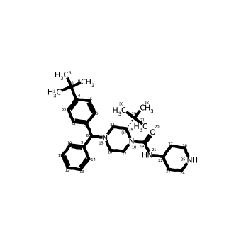 CC(C)(C)c1ccc(C(c2ccccc2)N2CCN(C(=O)NC3CCNCC3)[C@@H](C(C)(C)C)C2)cc1